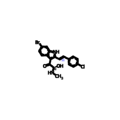 CN[C@@H](O)C(=O)c1c(/C=C/c2ccc(Cl)cc2)[nH]c2cc(Br)ccc12